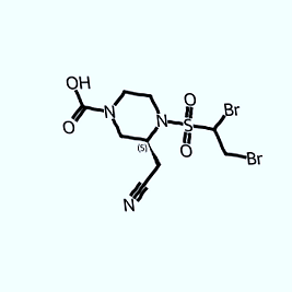 N#CC[C@H]1CN(C(=O)O)CCN1S(=O)(=O)C(Br)CBr